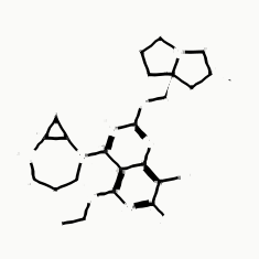 CCOc1nc(Cl)c(F)c2nc(OC[C@@]34CCCN3C[C@H](F)C4)nc(N3CCCOC4CC43)c12